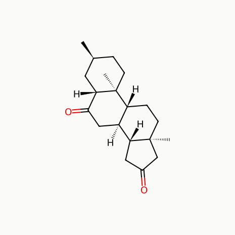 C[C@H]1CC[C@@]2(C)[C@@H]3CC[C@@]4(C)CC(=O)C[C@@H]4[C@H]3CC(=O)[C@@H]2C1